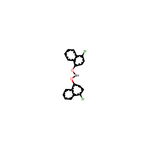 Brc1ccc(OBOc2ccc(Br)c3ccccc23)c2ccccc12